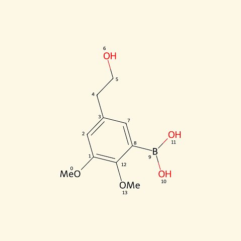 COc1cc(CCO)cc(B(O)O)c1OC